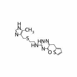 Cc1[nH]cnc1CSCCNc1nc(=O)c(Cc2cccs2)n[nH]1